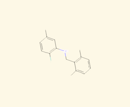 Cc1cccc(C)c1CNc1cc(C(=O)O)ccc1F